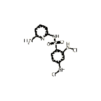 Nc1cccc(NS(=O)(=O)c2ccc(NCl)cc2NCl)n1